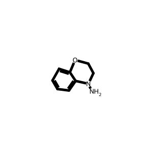 NN1CCOc2ccccc21